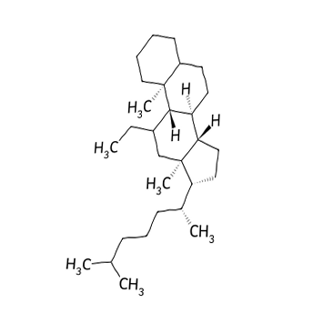 CCC1C[C@]2(C)[C@@H]([C@H](C)CCCC(C)C)CC[C@H]2[C@@H]2CCC3CCCC[C@]3(C)[C@@H]12